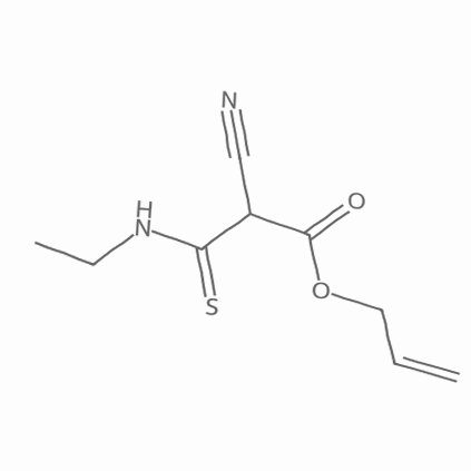 C=CCOC(=O)C(C#N)C(=S)NCC